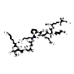 CSCC[C@H](NC(=O)[C@@H]1CCCN1C(=O)/C(CCCN)=N/C(=O)CNC(=O)[C@H](C)NC(=O)[C@@H](NC(=O)[C@@H](N)CCCCN)[C@@H](O)CN)C(=O)N[C@@H](CCCCN)C(=O)N/C(=C\CCNC(=N)N)C(=O)O